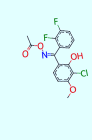 COc1ccc(C(=NOC(C)=O)c2cccc(F)c2F)c(O)c1Cl